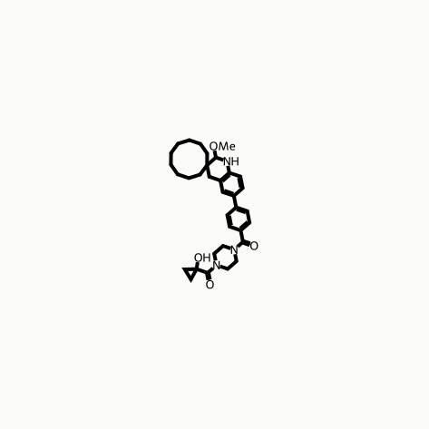 COC1Nc2ccc(-c3ccc(C(=O)N4CCN(C(=O)C5(O)CC5)CC4)cc3)cc2CC12CCCCCCCCC2